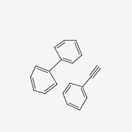 C#Cc1ccccc1.c1ccc(-c2ccccc2)cc1